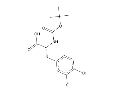 CC(C)(C)OC(=O)N[C@H](Cc1ccc(O)c(Cl)c1)C(=O)O